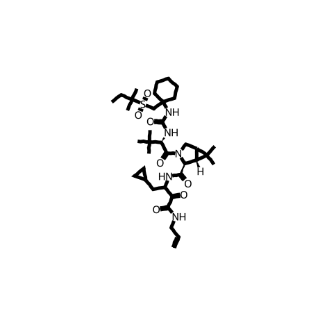 C=CCNC(=O)C(=O)C(CC1CC1)NC(=O)[C@@H]1[C@@H]2C(CN1C(=O)[C@@H](NC(=O)NC1(CS(=O)(=O)C(C)(C)CC)CCCCC1)C(C)(C)C)C2(C)C